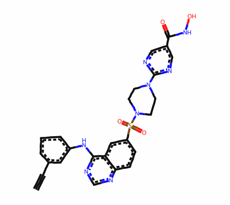 C#Cc1cccc(Nc2ncnc3ccc(S(=O)(=O)N4CCN(c5ncc(C(=O)NO)cn5)CC4)cc23)c1